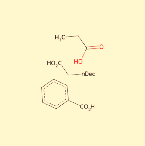 CCC(=O)O.CCCCCCCCCCCC(=O)O.O=C(O)c1ccccc1